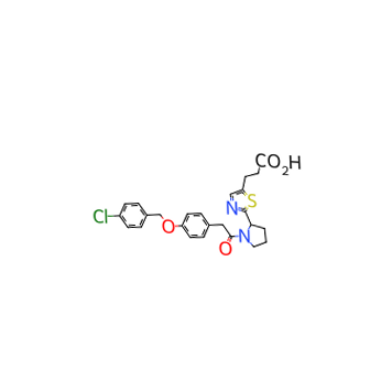 O=C(O)CCc1cnc(C2CCCN2C(=O)Cc2ccc(OCc3ccc(Cl)cc3)cc2)s1